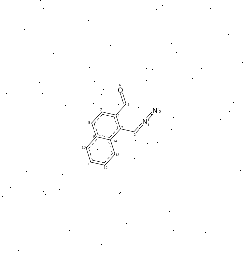 [N-]=[N+]=Cc1c(C=O)ccc2ccccc12